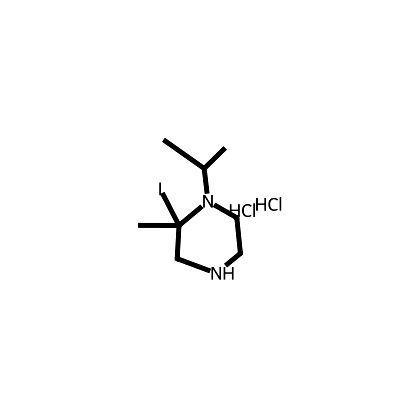 CC(C)N1CCNCC1(C)I.Cl.Cl